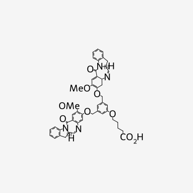 COC1=C(OCc2cc(COc3cc4c(cc3OC)C(=O)N3c5ccccc5C[C@H]3C=N4)cc(OCCCCC(=O)O)c2)CC2N=C[C@@H]3Cc4ccccc4N3C(=O)C2=C1